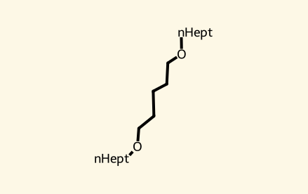 CCCCCCCOCCCCCOCCCCCCC